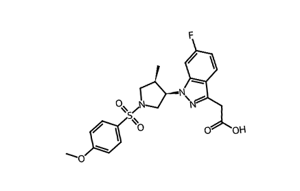 COc1ccc(S(=O)(=O)N2C[C@@H](C)[C@@H](n3nc(CC(=O)O)c4ccc(F)cc43)C2)cc1